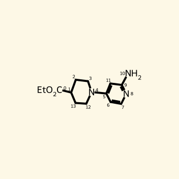 CCOC(=O)C1CCN(c2ccnc(N)c2)CC1